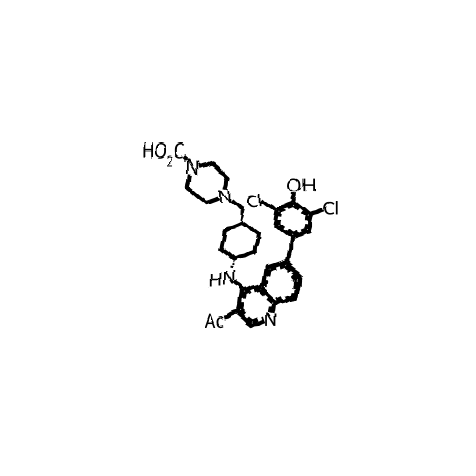 CC(=O)c1cnc2ccc(-c3cc(Cl)c(O)c(Cl)c3)cc2c1N[C@H]1CC[C@H](CN2CCN(C(=O)O)CC2)CC1